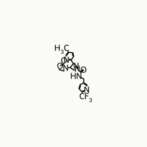 Cc1ccc(C2=NN(C(=O)NCc3ccc(C(F)(F)F)nc3)CC2N2CCOC2=O)nc1